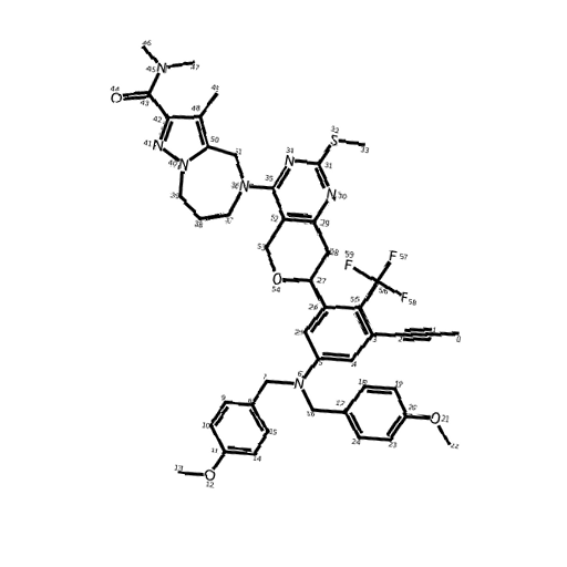 CC#Cc1cc(N(Cc2ccc(OC)cc2)Cc2ccc(OC)cc2)cc(C2Cc3nc(SC)nc(N4CCCn5nc(C(=O)N(C)C)c(C)c5C4)c3CO2)c1C(F)(F)F